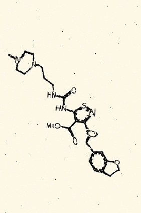 COC(=O)c1c(OCc2ccc3c(c2)OCC3)nsc1NC(=O)NCCCN1CCN(C)CC1